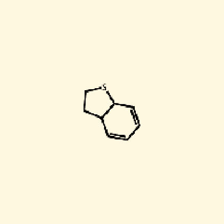 C1=CC2CCSC2C=C1